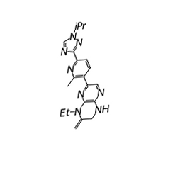 C=C1CNc2ncc(-c3ccc(-c4ncn(C(C)C)n4)nc3C)nc2N1CC